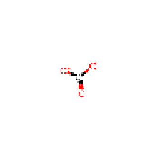 [O]=[Cr]([O-])[O-]